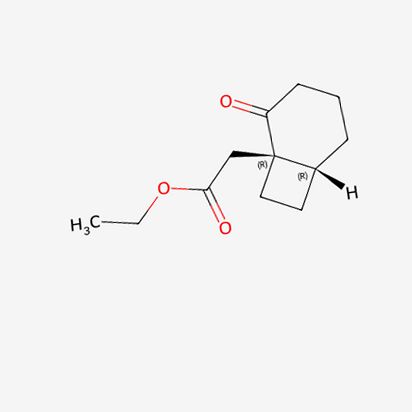 CCOC(=O)C[C@]12CC[C@H]1CCCC2=O